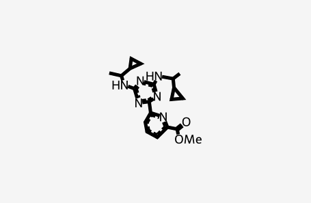 COC(=O)c1cccc(-c2nc(NC(C)C3CC3)nc(NC(C)C3CC3)n2)n1